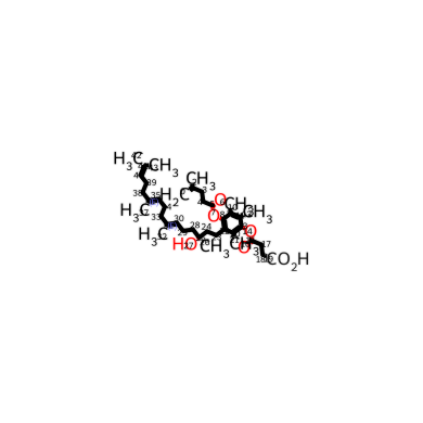 C=C(C)CCC(=O)Oc1c(C)c(C)c(OC(=O)CCC(=O)O)c(C)c1CCC(C)(O)CC/C=C(\C)CC/C=C(\C)CCC=C(C)C